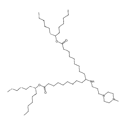 CCCCCCC(CCCCCC)OC(=O)CCCCCCCCC(CCCCCCCCC(=O)OC(CCCCCC)CCCCCC)NCCCN1CCN(C)CC1